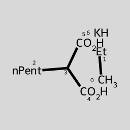 CCC.CCCCCC(C(=O)O)C(=O)O.[KH]